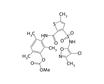 COC(=O)Oc1c(C)cc(C)c(NC(=O)c2sc(C)cc2S(=O)(=O)Nc2onc(C)c2Cl)c1C